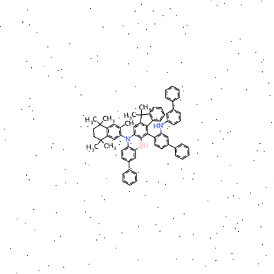 Cc1cc2c(cc1N1c3ccc(-c4ccccc4)cc3Bc3c1cc1c(c3-c3ccc(-c4ccccc4)cc3Nc3cccc(-c4ccccc4)c3)-c3ccccc3C1(C)C)C(C)(C)CCC2(C)C